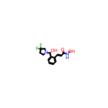 O=C(/C=C/c1ccccc1C(O)N1CCC(F)(F)C1)NO